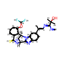 C=N/C(=N\C=C(/C)c1ccc2nc3n(c2c1)[C@H]1C[C@H]3NC(=S)c2cccc(OC(F)F)c21)C(C)(C)O